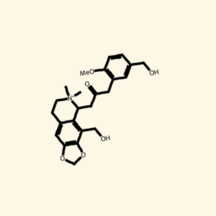 COc1ccc(CO)cc1CC(=O)CC1c2c(cc3c(c2CO)OCO3)CC[N+]1(C)C